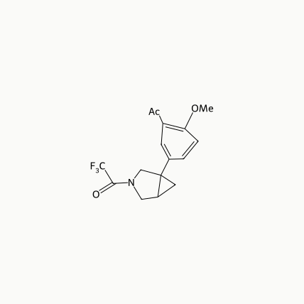 COc1ccc(C23CC2CN(C(=O)C(F)(F)F)C3)cc1C(C)=O